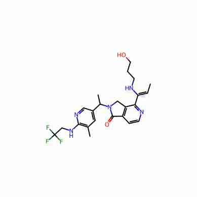 C/C=C(\NCCCO)c1nccc2c1CN(C(C)c1cnc(NCC(F)(F)F)c(C)c1)C2=O